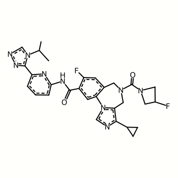 CC(C)n1cnnc1-c1cccc(NC(=O)c2cc3c(cc2F)CN(C(=O)N2CC(F)C2)Cc2c(C4CC4)ncn2-3)n1